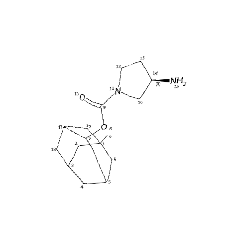 CC12CC3CC(C1)C(OC(=O)N1CC[C@@H](N)C1)C(C3)C2